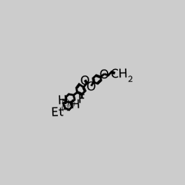 C=CCOc1ccc(OC(=O)c2ccc(C3CC[C@H]4C[C@@H](CC)CC[C@@H]4C3)c(F)c2)cc1